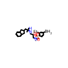 Bc1ccc(S(=O)(=O)N(C)C[C@H](O)CNC(C)(C)CC2Cc3ccccc3C2)c(CC)c1